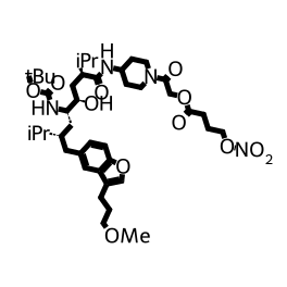 COCCCc1coc2ccc(C[C@@H](C[C@H](NC(=O)OC(C)(C)C)[C@@H](O)C[C@H](C(=O)NC3CCN(C(=O)COC(=O)CCCO[N+](=O)[O-])CC3)C(C)C)C(C)C)cc12